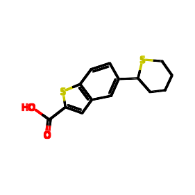 O=C(O)c1cc2cc(C3CCCCS3)ccc2s1